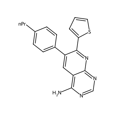 CCCc1ccc(-c2cc3c(N)ncnc3nc2-c2cccs2)cc1